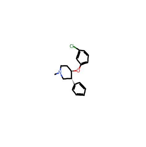 CN1CC[C@@H](Oc2cccc(Cl)c2)[C@H](c2ccccc2)C1